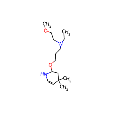 CCN(CCCOC1CC(C)(C)C=CN1)CCOC